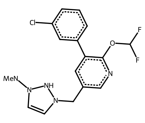 CNN1C=CN(Cc2cnc(OC(F)F)c(-c3cccc(Cl)c3)c2)N1